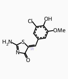 COc1cc(/C=C2\SC(N)=NC2=O)cc(Cl)c1O